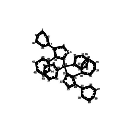 c1ccc(-c2csc([Si](c3ccccc3)(c3ccccc3)c3scc(-c4ccccc4)c3-c3ccccc3)c2-c2ccccc2)cc1